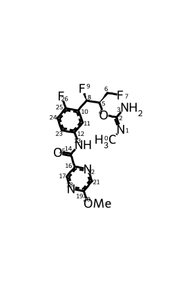 C/N=C(/N)O[C@H](CF)[C@H](F)c1cc(NC(=O)c2cnc(OC)cn2)ccc1F